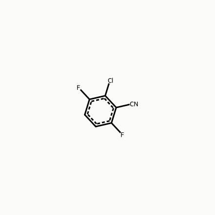 N#Cc1c(F)ccc(F)c1Cl